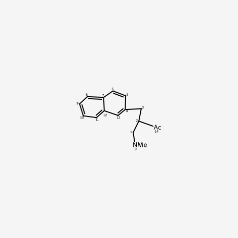 CNCC(Cc1ccc2ccccc2c1)C(C)=O